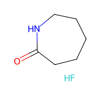 F.O=C1CCCCCN1